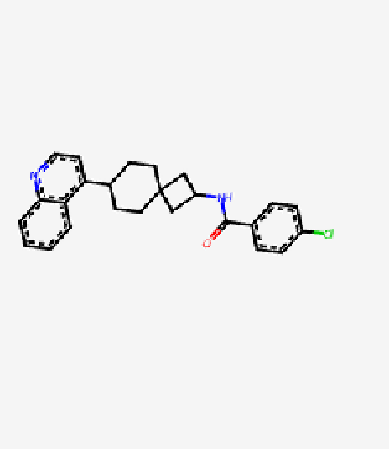 O=C(NC1CC2(CCC(c3ccnc4ccccc34)CC2)C1)c1ccc(Cl)cc1